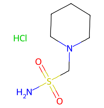 Cl.NS(=O)(=O)CN1CCCCC1